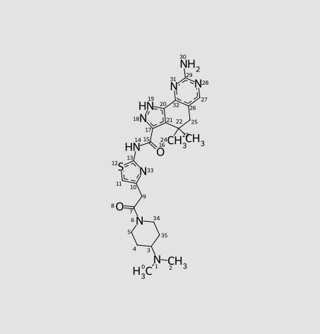 CN(C)C1CCN(C(=O)Cc2csc(NC(=O)c3n[nH]c4c3C(C)(C)Cc3cnc(N)nc3-4)n2)CC1